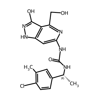 Cc1cc([C@@H](C)NC(=O)Nc2cc3[nH]nc(O)c3c(CO)n2)ccc1Cl